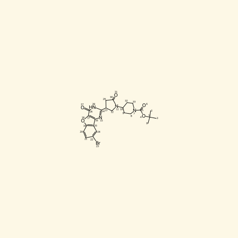 CC(C)(C)OC(=O)N1CCC(N2CC(c3nc4c(oc5ccc(Br)cc54)c(=O)[nH]3)CC2=O)CC1